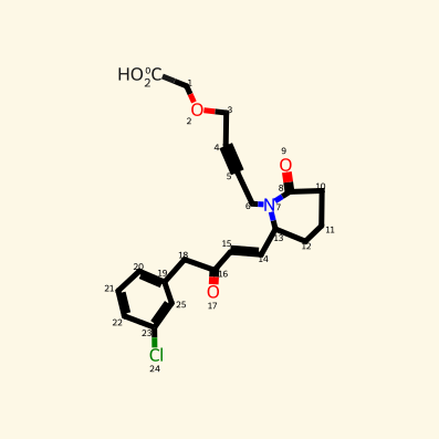 O=C(O)COCC#CCN1C(=O)CCCC1C=CC(=O)Cc1cccc(Cl)c1